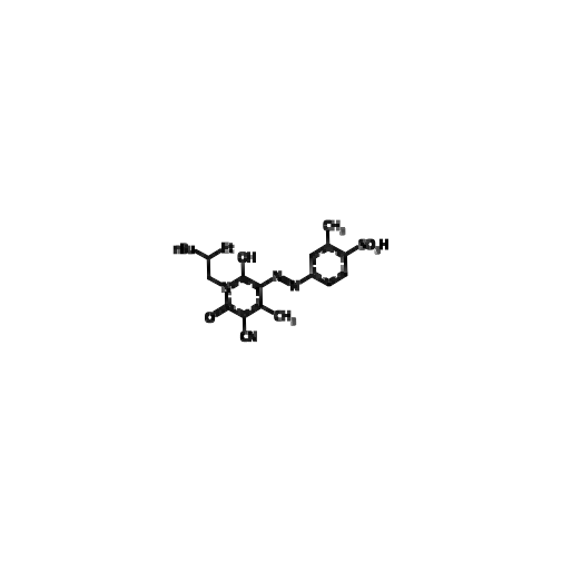 CCCCC(CC)Cn1c(O)c(N=Nc2ccc(S(=O)(=O)O)c(C)c2)c(C)c(C#N)c1=O